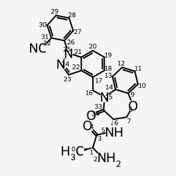 C[C@H](N)C(=O)N[C@H]1COc2ccccc2N(Cc2cccc3c2cnn3-c2ccccc2C#N)C1=O